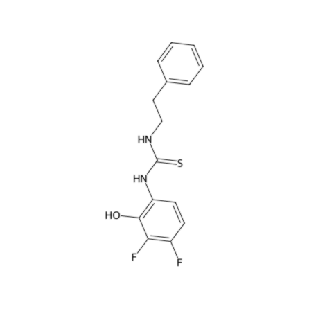 Oc1c(NC(=S)NCCc2ccccc2)ccc(F)c1F